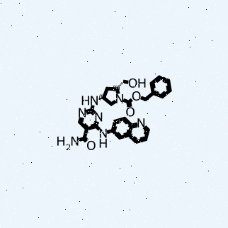 NC(=O)c1cnc(N[C@@H]2C[C@H](CO)N(C(=O)OCc3ccccc3)C2)nc1Nc1ccc2ncccc2c1